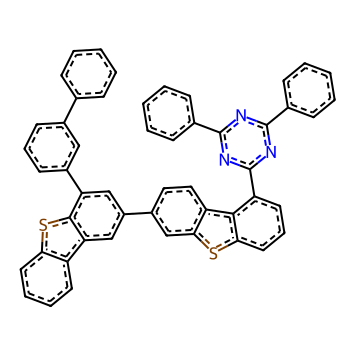 c1ccc(-c2cccc(-c3cc(-c4ccc5c(c4)sc4cccc(-c6nc(-c7ccccc7)nc(-c7ccccc7)n6)c45)cc4c3sc3ccccc34)c2)cc1